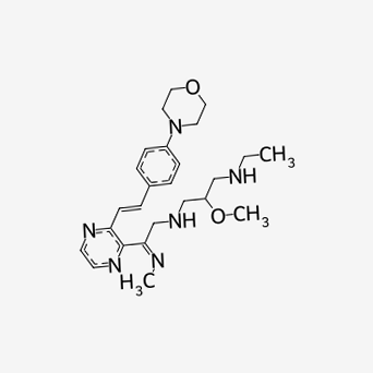 CCNCC(CNC/C(=N/C)c1nccnc1/C=C/c1ccc(N2CCOCC2)cc1)OC